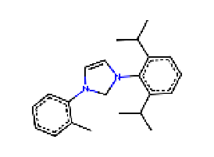 Cc1ccccc1N1C=CN(c2c(C(C)C)cccc2C(C)C)C1